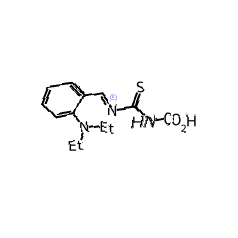 CCN(CC)c1ccccc1/C=N/C(=S)NC(=O)O